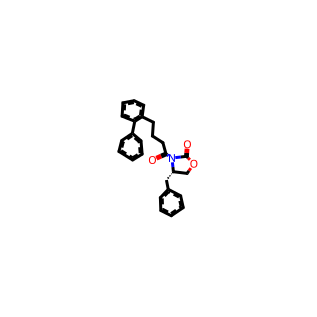 O=C(CCCc1ccccc1-c1ccccc1)N1C(=O)OC[C@@H]1Cc1ccccc1